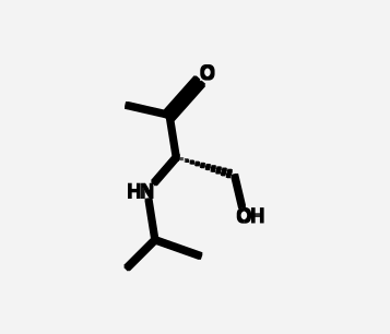 CC(=O)[C@H](CO)NC(C)C